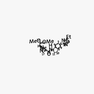 CCc1nc(-c2ccc3c(c2)CC[C@H]3NC(=O)c2cnn(CC(OC)OC)c2)no1